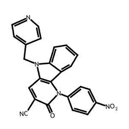 N#Cc1cc2c(c3ccccc3n2Cc2ccncc2)n(-c2ccc([N+](=O)[O-])cc2)c1=O